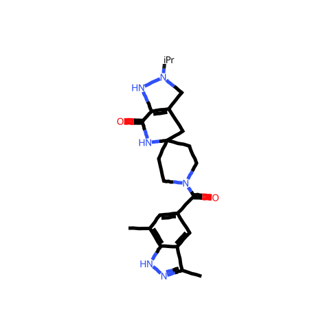 Cc1n[nH]c2c(C)cc(C(=O)N3CCC4(CC3)CC3=C(NN(C(C)C)C3)C(=O)N4)cc12